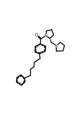 O=C(c1ccc(CCCCCc2ccccc2)cc1)N1CCC[C@H]1CN1CCCC1